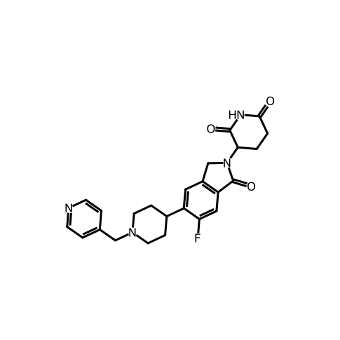 O=C1CCC(N2Cc3cc(C4CCN(Cc5ccncc5)CC4)c(F)cc3C2=O)C(=O)N1